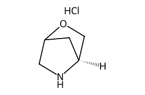 C1N[C@@H]2COC1C2.Cl